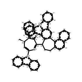 C[C@@H]1C=C(n2c3ccccc3c3ccccc32)N=C(C2CCc3ccc4ccccc4c3-c3cc4c5ccccc5n5c6ccccc6c(c32)c45)c2oc3ccccc3c21